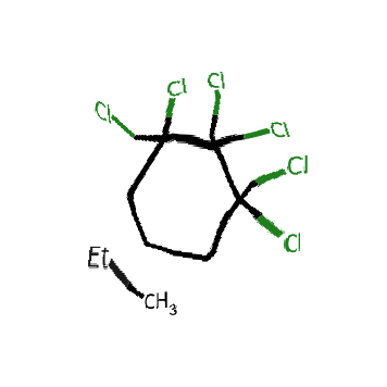 CCC.ClC1(Cl)CCCC(Cl)(Cl)C1(Cl)Cl